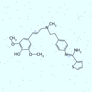 COc1cc(/C=C/CN(C)CCc2ccc(/N=C(\N)c3cccs3)cc2)cc(OC)c1O